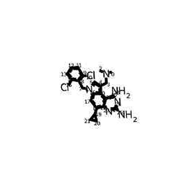 CN(C)Cc1cn(Cc2c(Cl)cccc2Cl)c2cc(C3CC3)c3nc(N)nc(N)c3c12